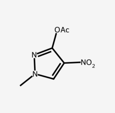 CC(=O)Oc1nn(C)cc1[N+](=O)[O-]